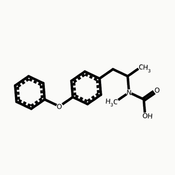 CC(Cc1ccc(Oc2ccccc2)cc1)N(C)C(=O)O